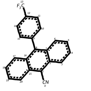 N#Cc1c2ccccc2c(-c2ccc(C(F)(F)F)cc2)c2ccccc12